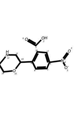 O=CO.O=[N+]([O-])c1ccc(C2CNCCO2)cc1